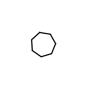 [CH]1[CH]C[CH]CC[CH]1